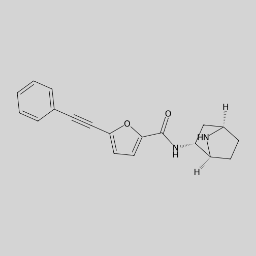 O=C(N[C@@H]1C[C@H]2CC[C@@H]1N2)c1ccc(C#Cc2ccccc2)o1